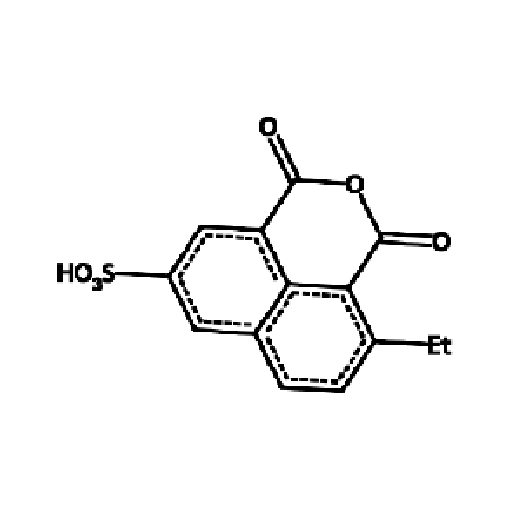 CCc1ccc2cc(S(=O)(=O)O)cc3c2c1C(=O)OC3=O